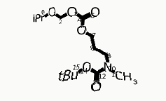 CC(C)OCOC(=O)OCCCN(C)C(=O)OC(C)(C)C